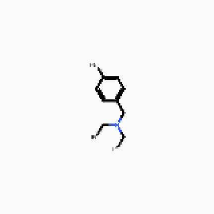 CC(C)CN(Cc1ccc(C(C)(C)C)cc1)CC(C)C